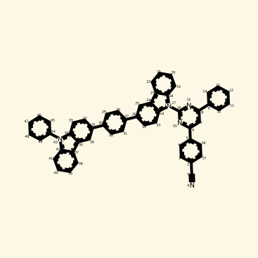 N#Cc1ccc(-c2cc(-c3ccccc3)nc(-n3c4ccccc4c4cc(-c5ccc(-c6ccc7c(c6)c6ccccc6n7-c6ccccc6)cc5)ccc43)n2)cc1